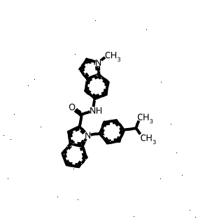 CC(C)c1ccc(-n2c(C(=O)Nc3ccc4c(ccn4C)c3)cc3ccccc32)cc1